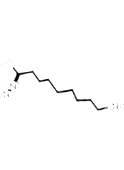 CCCCCCCCCCCCCCCCCC(=[N+]=[N-])OC(C)=O